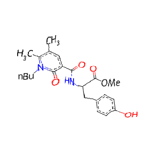 CCCCn1c(C)c(C)cc(C(=O)NC(Cc2ccc(O)cc2)C(=O)OC)c1=O